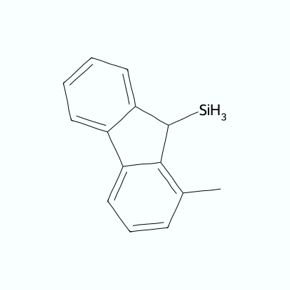 Cc1cccc2c1C([SiH3])c1ccccc1-2